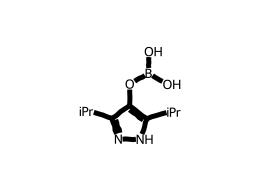 CC(C)c1n[nH]c(C(C)C)c1OB(O)O